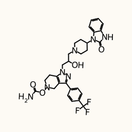 NC(=O)ON1CCc2c(c(-c3ccc(C(F)(F)F)cc3)nn2CC(O)CN2CCC(n3c(=O)[nH]c4ccccc43)CC2)C1